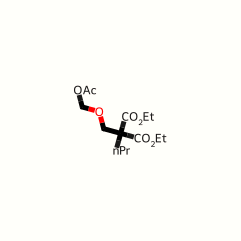 CCCC(COCOC(C)=O)(C(=O)OCC)C(=O)OCC